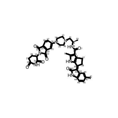 Cc1[nH]c2c(c1C(=O)N[C@H](C)CN1CCN(c3ccc4c(c3)C(=O)N(C3CCC(=O)NC3=O)C4=O)CC1)CC/C2=C1/C(=O)Nc2ccc(F)cc21